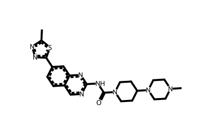 Cc1nnc(-c2ccc3cnc(NC(=O)N4CCC(N5CCN(C)CC5)CC4)nc3c2)s1